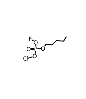 CCCCCOP(=O)(OF)OCl